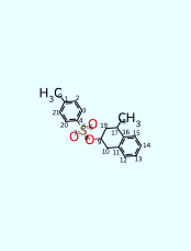 Cc1ccc(S(=O)(=O)OC2Cc3ccccc3C(C)C2)cc1